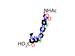 CC(=O)NC[C@H]1CN(c2ccc(N3CCN([C@@H]4CCN(c5nc6c(cc5F)c(=O)c(C(=O)O)cn6C5CC5)C4)CC3)c(F)c2)C(=O)O1